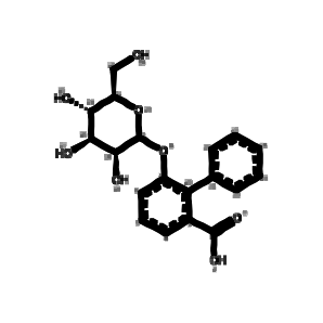 O=C(O)c1cccc(OC2O[C@H](CO)[C@@H](O)[C@H](O)[C@@H]2O)c1-c1ccccc1